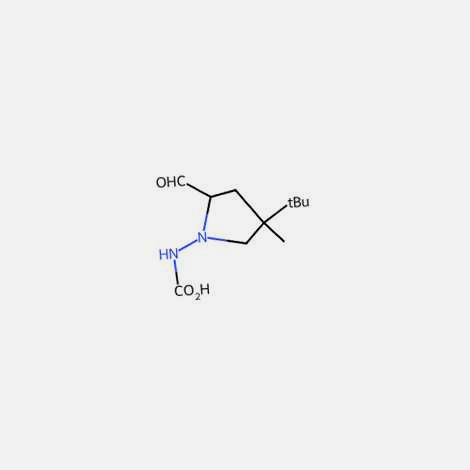 CC(C)(C)C1(C)CC(C=O)N(NC(=O)O)C1